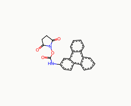 O=C(Nc1ccc2c3ccccc3c3ccccc3c2c1)ON1C(=O)CCC1=O